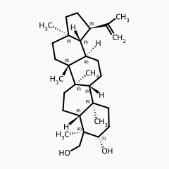 C=C(C)[C@@H]1CC[C@]2(C)CC[C@]3(C)[C@H](CC[C@@H]4[C@@]5(C)CC[C@H](O)[C@@](C)(CO)[C@@H]5CC[C@]43C)[C@@H]12